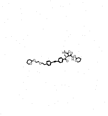 CNC(=O)[C@@](C)(C(=O)NOC1CCCCO1)N(C)C(=O)c1ccc(C#Cc2ccc(CCOCCOC3CCCCO3)cc2)cc1